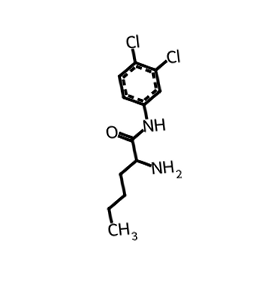 CCCCC(N)C(=O)Nc1ccc(Cl)c(Cl)c1